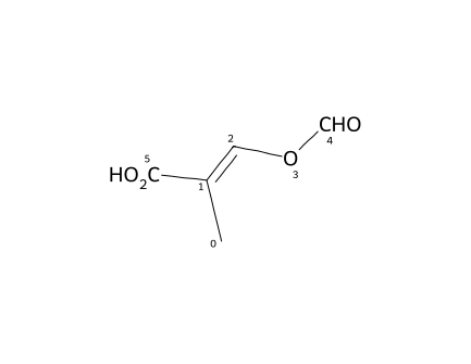 CC(=COC=O)C(=O)O